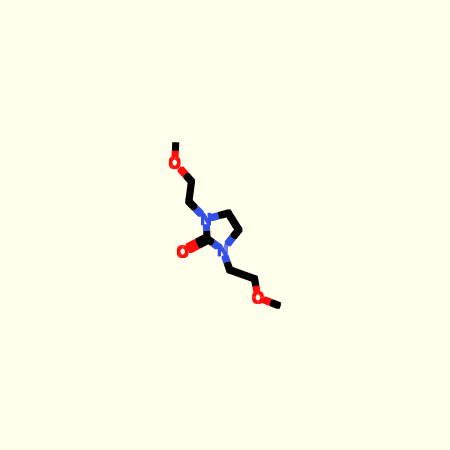 COCCN1CCN(CCOC)C1=O